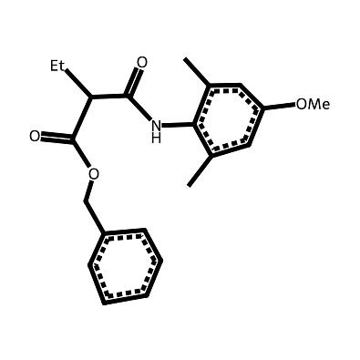 CCC(C(=O)Nc1c(C)cc(OC)cc1C)C(=O)OCc1ccccc1